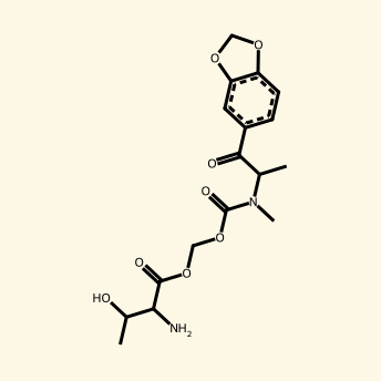 CC(O)C(N)C(=O)OCOC(=O)N(C)C(C)C(=O)c1ccc2c(c1)OCO2